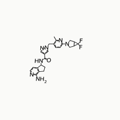 Cc1nc(N2CC3C(C2)C3(F)F)ccc1Cn1cc(C(=O)NC2CCc3c2ccnc3N)cn1